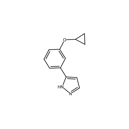 c1cc(OC2CC2)cc(-c2ccn[nH]2)c1